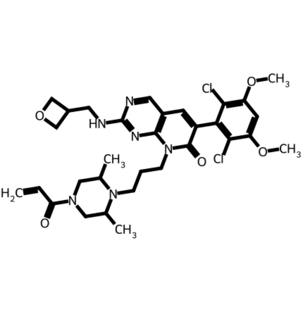 C=CC(=O)N1CC(C)N(CCCn2c(=O)c(-c3c(Cl)c(OC)cc(OC)c3Cl)cc3cnc(NCC4COC4)nc32)C(C)C1